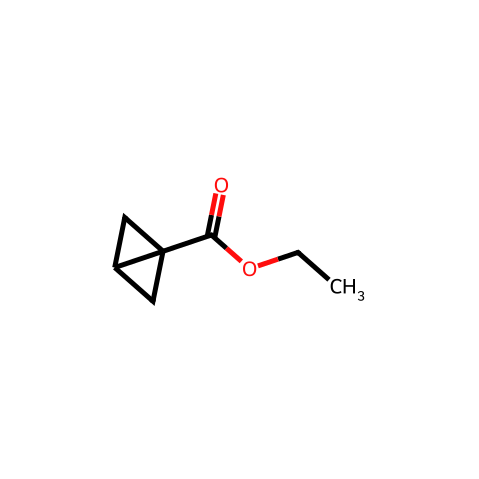 CCOC(=O)C12CC1C2